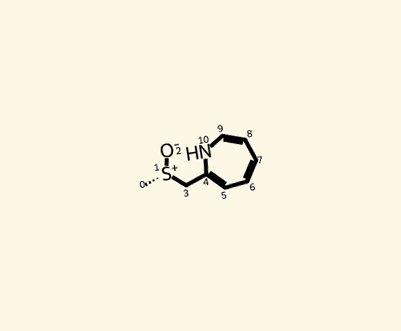 C[S@+]([O-])CC1=CC=CC=CN1